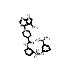 Cc1c[nH]c2ncnc(N3CCC(C(=O)Nc4cccc(S(=O)(=O)Nc5cccc(N(C)C)c5)c4)CC3)c12